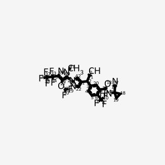 C#CC(c1ccc(C(F)(F)F)c(C(=O)NC2(C#N)CC2)c1)c1cnn(-c2c(OC(F)F)c(C(F)(F)C(F)(F)F)nn2C)c1